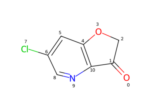 O=C1COc2cc(Cl)cnc21